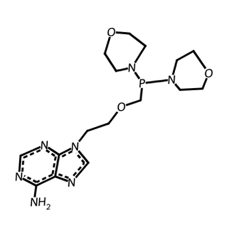 Nc1ncnc2c1ncn2CCOCP(N1CCOCC1)N1CCOCC1